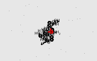 CSCCCN(C(=O)Nc1cccc2cccnc12)C(=O)N[C@H](Cc1ccc(O)cc1)C(=O)NC(CC(N)=O)C(=O)NC(Cc1c[nH]c2ccccc12)C(=O)NC(CC(N)=O)C(=O)NC(CO)C(=O)NC(Cc1ccccc1)C(=O)NCC(=O)N[C@@H](CC(C)C)C(=O)O